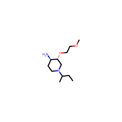 CCC(C)N1CC[C@@H](N)[C@H](OCCOC)C1